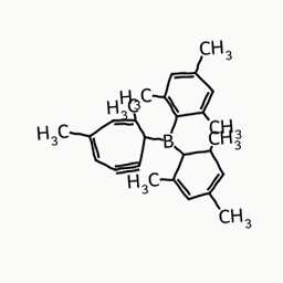 CC1=CC#CC(B(c2c(C)cc(C)cc2C)C2C(C)=CC(C)=CC2C)C(C)=C1